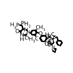 CB(Cc1ccccc1)N(CC(=O)N1CCC1)S(=O)(=O)c1cc(Oc2c(C)cc(-n3nc(C(P)P)c(=O)[nH]c3=O)cc2C)ccc1O